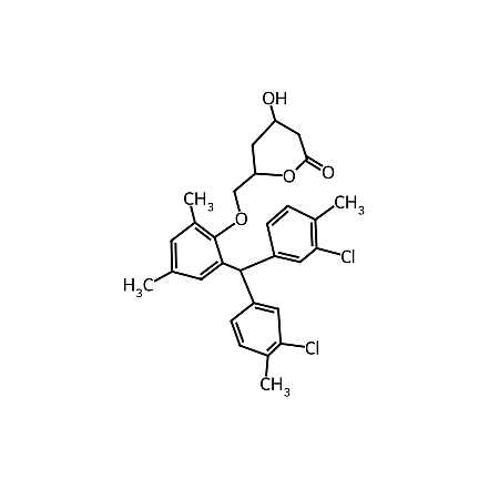 Cc1cc(C)c(OCC2CC(O)CC(=O)O2)c(C(c2ccc(C)c(Cl)c2)c2ccc(C)c(Cl)c2)c1